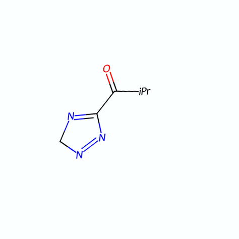 CC(C)C(=O)C1=NCN=N1